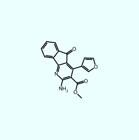 COC(=O)c1c(N)nc2c(c1-c1ccoc1)C(=O)c1ccccc1-2